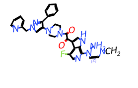 C=N/C=C\N(N)c1ncc(F)c2c(C(=O)C(=O)N3CCN(c4cn(Cc5ccccn5)nc4-c4ccccc4)CC3)c[nH]c12